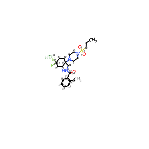 CCCS(=O)(=O)N1CCN(C2(CNC(=O)c3ccccc3C)CCC(F)(F)CC2)CC1.Cl